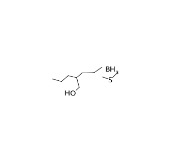 B.CCCC(CO)CCC.CSC